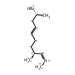 CCCC[C@H](C)C/C=C/CC[C@H](C)/C=N\C